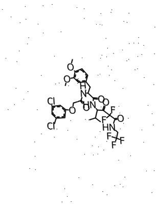 COc1ccc(CC(NC(=O)COc2cc(Cl)cc(Cl)c2)C(=O)NC(C(=O)C(F)(F)C(=O)NCC(F)(F)F)C(C)C)cc1OC